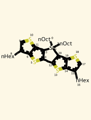 CCCCCCCC[Si]1(CCCCCCCC)c2c(sc3c(CCCCCC)csc23)-c2sc3c(CCCCCC)csc3c21